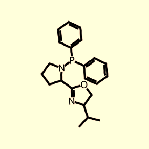 CC(C)C1COC(C2CCCN2P(c2ccccc2)c2ccccc2)=N1